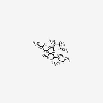 CC[C@H](C)[C@H](N)C(=O)OC([C]=O)C(CC(=O)OC)OC(=O)[C@@H](N)[C@@H](C)CC